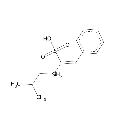 CC(C)C[SiH2]C(=Cc1ccccc1)S(=O)(=O)O